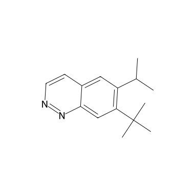 CC(C)c1cc2ccnnc2cc1C(C)(C)C